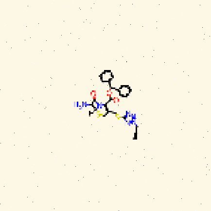 C#CCn1nnc(SCC2=C(C(=O)OC(c3ccccc3)c3ccccc3)N3C(=O)C(N)[C@H]3SC2)n1